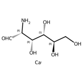 N[C@@H](C=O)[C@@H](O)[C@H](O)[C@H](O)CO.[Ca]